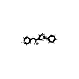 OC(Cc1ccncc1)c1cnc(-c2ccccc2)s1